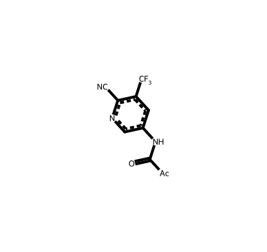 CC(=O)C(=O)Nc1cnc(C#N)c(C(F)(F)F)c1